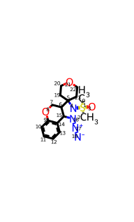 CS(C)(=O)=NC1(C2COc3ccccc3C2N=[N+]=[N-])CCOCC1